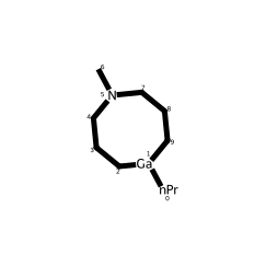 CC[CH2][Ga]1[CH2]CCN(C)CC[CH2]1